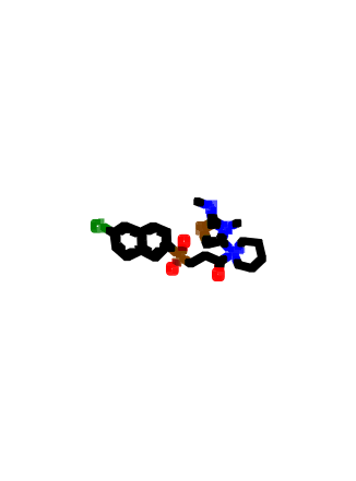 C/N=c1\scc([N+]2(C(=O)CCS(=O)(=O)c3ccc4cc(Cl)ccc4c3)CCCCC2)n1C